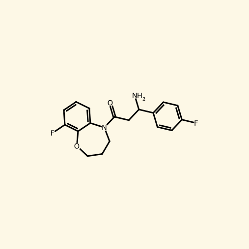 NC(CC(=O)N1CCCOc2c(F)cccc21)c1ccc(F)cc1